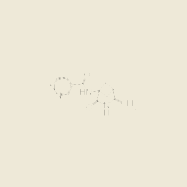 C=C1NC(=O)C2(NC(=O)c3ccnnc3)CC1C2